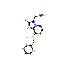 Cc1nc2c([S+]([O-])Cc3ccccc3)cccn2c1CC#N